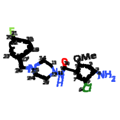 COc1cc(N)c(Cl)cc1C(=O)NN1CCN(Cc2ccc(F)cc2)CC1